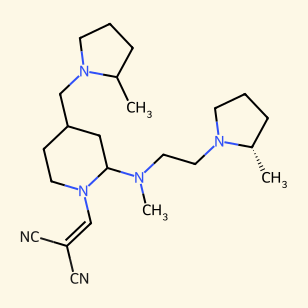 CC1CCCN1CC1CCN(C=C(C#N)C#N)C(N(C)CCN2CCC[C@@H]2C)C1